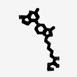 Cc1cc(N2CCc3c(c(C)nn3CCCCCNC(=O)OC(C)(C)C)C2)c2cc[nH]c2n1